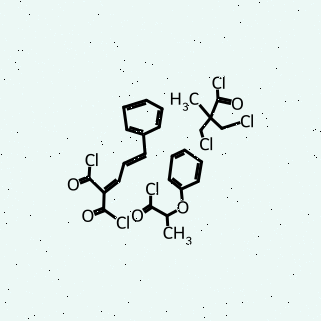 CC(CCl)(CCl)C(=O)Cl.CC(Oc1ccccc1)C(=O)Cl.O=C(Cl)C(=CC=Cc1ccccc1)C(=O)Cl